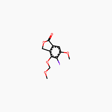 COCOc1c(I)c(OC)cc2c1COC2=O